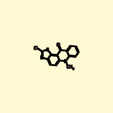 Cn1c2ccccc2c(=O)c2c3sc(Cl)nc3ccc21